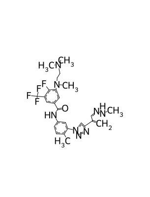 C=C(/C=N\NC)c1cn(-c2cc(NC(=O)c3cc(N(C)CCN(C)C)c(F)c(C(F)(F)F)c3)ccc2C)nn1